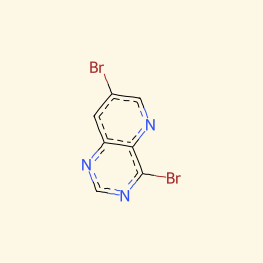 Brc1cnc2c(Br)ncnc2c1